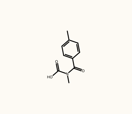 Cc1ccc(C(=O)N(C)C(=O)O)cc1